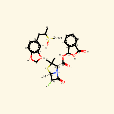 CC1(C)S[C@@H]2[C@H](F)C(=O)N2[C@H]1C(=O)OC1OC(=O)c2ccccc21.CCCCCCCC[S+]([O-])C(C)Cc1ccc2c(c1)OCO2